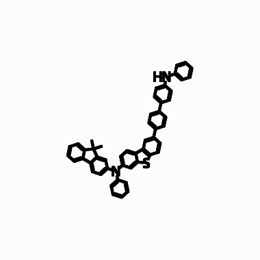 CC1(C)c2ccccc2-c2ccc(N(c3ccccc3)c3ccc4c(c3)sc3ccc(-c5ccc(-c6ccc(Nc7ccccc7)cc6)cc5)cc34)cc21